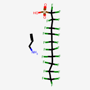 C=CCN.O=S(=O)(O)C(F)(F)C(F)(F)C(F)(F)C(F)(F)C(F)(F)C(F)(F)C(F)(F)C(F)(F)C(F)(F)C(F)(F)F